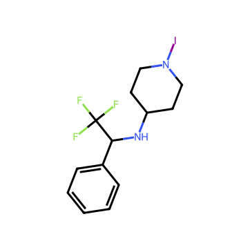 FC(F)(F)C(NC1CCN(I)CC1)c1ccccc1